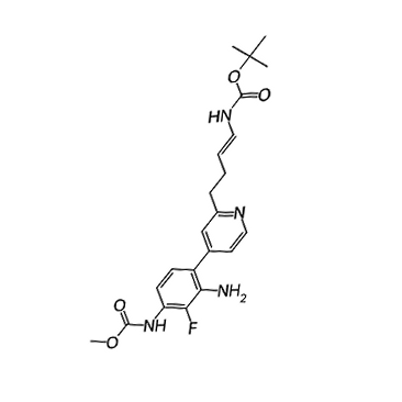 COC(=O)Nc1ccc(-c2ccnc(CCC=CNC(=O)OC(C)(C)C)c2)c(N)c1F